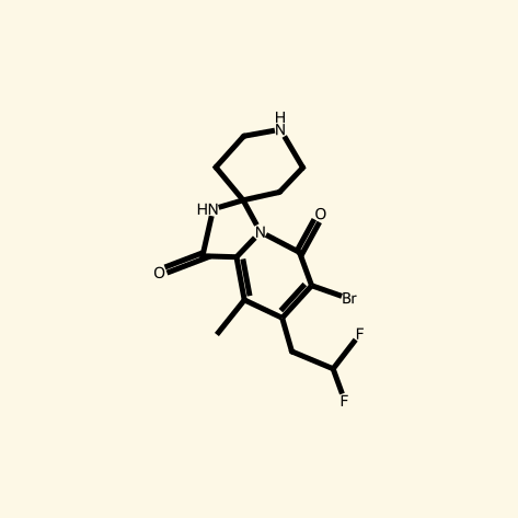 Cc1c(CC(F)F)c(Br)c(=O)n2c1C(=O)NC21CCNCC1